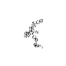 N#CC1=C(C2=CC=C(OCCON)CC2)C(C=N)C(N2CCCC2)NC1SCC1CSC(C2=CC=C(Cl)CC2)=N1